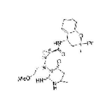 COCC[C@H]([C@@H]1C[C@H]1C(=O)NC1CC(C)(C(C)C)Oc2ccccc21)N1C(=N)NC(C)(C)CC1=O